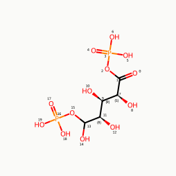 O=C(OP(=O)(O)O)[C@@H](O)[C@H](O)[C@@H](O)C(O)OP(=O)(O)O